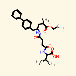 CCOC(=O)C(C)CC(Cc1ccc(-c2ccccc2)cc1)NC(=O)CCC(=O)NC(C(=O)O)C(C)C